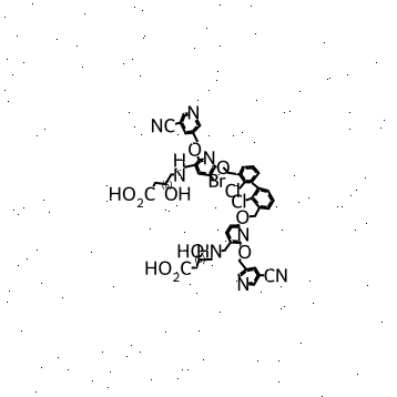 N#Cc1cncc(COc2nc(OCc3cccc(-c4cccc(COc5nc(OCc6cncc(C#N)c6)c(CNC[C@@H](O)CC(=O)O)cc5Br)c4Cl)c3Cl)ccc2CNC[C@@H](O)CC(=O)O)c1